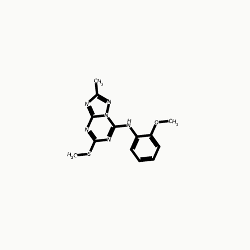 COc1ccccc1Nc1nc(SC)nc2nc(C)nn12